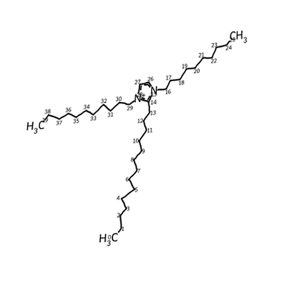 CCCCCCCCCCCCCCc1n(CCCCCCCCCC)cc[n+]1CCCCCCCCCCC